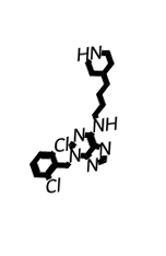 Clc1cccc(Cl)c1Cn1cnc(NCCCCC2CCNCC2)c2ncnc1-2